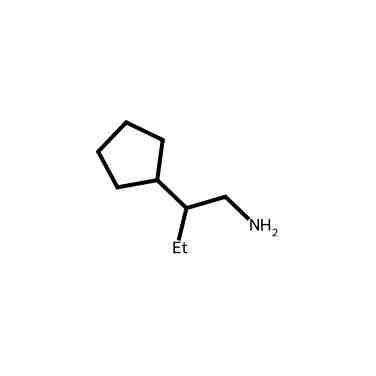 CCC(CN)C1CCCC1